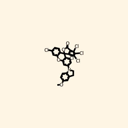 COc1ccc2c(c1)CCN2c1ccc2c(c1)Oc1cc(Cl)ccc1C21OC(=O)c2c(Cl)c(Cl)c(Cl)c(Cl)c21